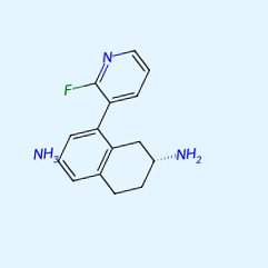 N.N[C@@H]1CCc2cccc(-c3cccnc3F)c2C1